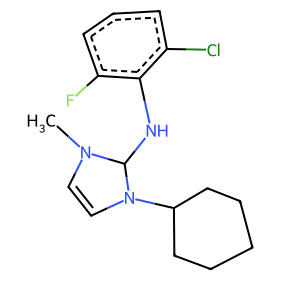 CN1C=CN(C2CCCCC2)C1Nc1c(F)cccc1Cl